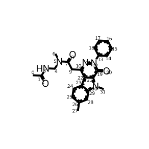 CC(=O)NCN(C)C(=O)Cc1nn(-c2ccccc2)c(=O)c2c1c1ccc(C)cc1n2C